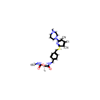 CCc1c(C#N)c(SCc2ccc(CNC(=O)[C@H](C)OC(=O)NC(C)(C)C)cc2)nc(N2CCCN(C)CC2)c1C#N